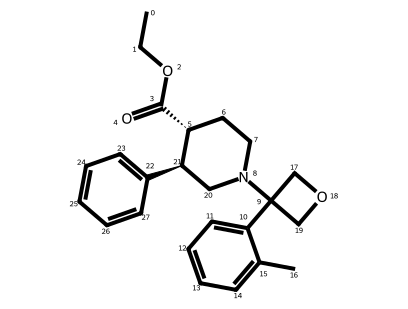 CCOC(=O)[C@@H]1CCN(C2(c3ccccc3C)COC2)C[C@H]1c1ccccc1